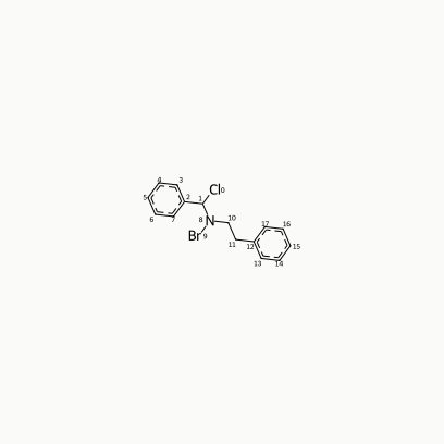 ClC(c1ccccc1)N(Br)CCc1ccccc1